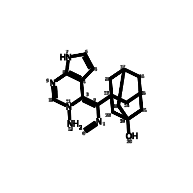 C=N/C(=C1/c2cc[nH]c2N=CN1N)C12CC3CC(CC(O)(C3)C1)C2